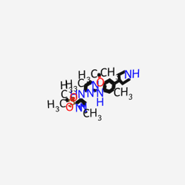 Cc1cc(Nc2ncc(C)c(Nc3cn(C)nc3S(=O)(=O)C(C)C)n2)c(OC(C)C)cc1C1CCNCC1